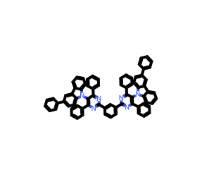 c1ccc(-c2ccc3c(c2)c2ccccc2n3-c2c(-c3ccccc3)nc(-c3cccc(-c4nc(-c5ccccc5)c(-n5c6ccccc6c6cc(-c7ccccc7)ccc65)c(-c5ccccc5)n4)c3)nc2-c2ccccc2)cc1